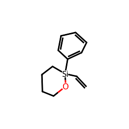 C=C[Si]1(c2ccccc2)CCCCO1